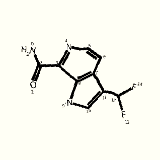 NC(=O)c1nccc2c1[N]C=C2C(F)F